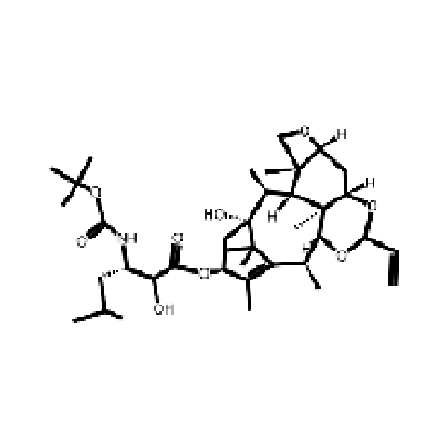 C=CC1O[C@H]2C[C@H]3OC[C@@]3(C)[C@H]3[C@H](C)[C@]4(O)C[C@H](OC(=O)C(O)[C@H](CC(C)C)NC(=O)OC(C)(C)C)C(C)=C([C@H](C)[C@H](O1)[C@]23C)C4(C)C